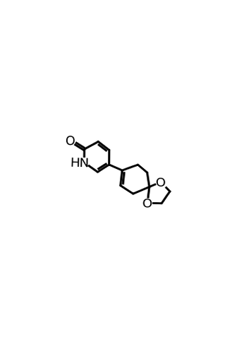 O=c1ccc(C2=CCC3(CC2)OCCO3)c[nH]1